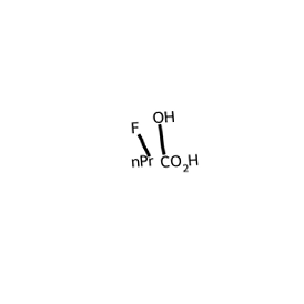 CCCF.O=C(O)O